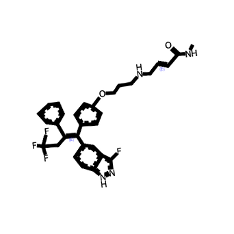 CNC(=O)/C=C/CNCCCOc1ccc(/C(=C(/CC(F)(F)F)c2ccccc2)c2ccc3[nH]nc(F)c3c2)cc1